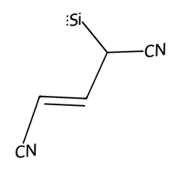 N#CC=CC([Si])C#N